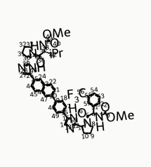 COC(=O)NC(C(=O)N1CCCC1c1ncc(-c2ccc(-c3ccc4cc(-c5cnc([C@@H]6CCCN6C(=O)[C@@H](NC(=O)OC)C(C)C)[nH]5)ccc4c3)cc2)[nH]1)c1cccc(C(F)(F)F)c1